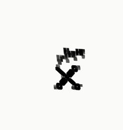 CS(=O)(=O)[O-].F.F.F.[Li+]